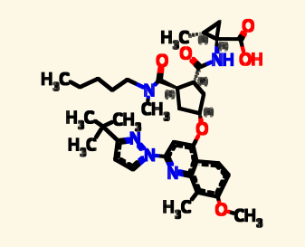 CCCCCN(C)C(=O)[C@@H]1C[C@H](Oc2cc(-n3ccc(C(C)(C)C)n3)nc3c(C)c(OC)ccc23)C[C@H]1C(=O)N[C@]1(C(=O)O)C[C@H]1C